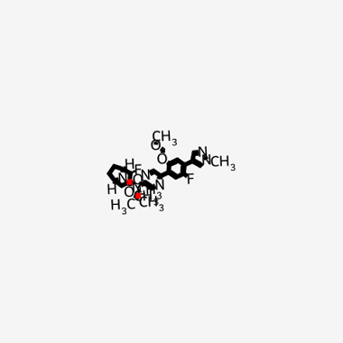 COCOc1cc(-c2cnn(C)c2)c(F)cc1-c1cnc(N(C)[C@H]2C[C@@H]3CC[C@H]([C@H]2F)N3C(=O)OC(C)(C)C)cn1